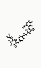 COC(=O)C(Cc1ccc(OCC2CN(c3ccccc3C#N)C(=O)O2)cc1)NC(=O)OC(C)(C)C